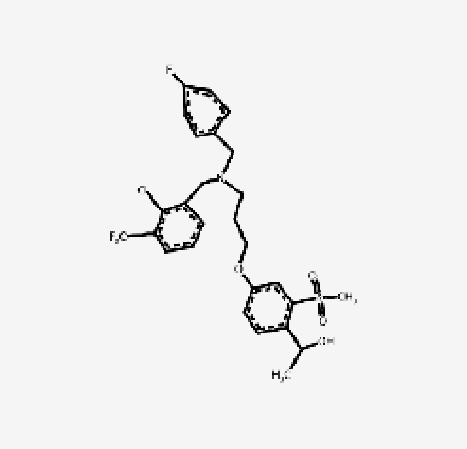 CC(O)c1ccc(OCCCN(Cc2ccc(F)cc2)Cc2cccc(C(F)(F)F)c2Cl)cc1S(C)(=O)=O